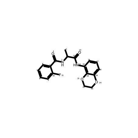 CC(NC(=O)c1ccccc1F)C(=O)Nc1cccc2c1OCCO2